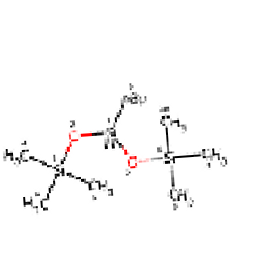 CCCC[SiH](O[Si](C)(C)C)O[Si](C)(C)C